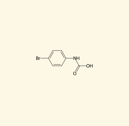 O=C(O)Nc1ccc(Br)cc1